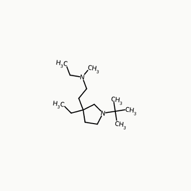 CCN(C)CCC1(CC)CCN(C(C)(C)C)C1